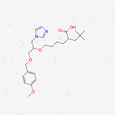 COc1ccc(COCC(Cn2ccnc2)OCCCCC(CC(C)(C)C)C(=O)O)cc1